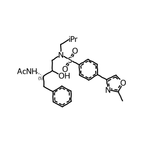 CC(=O)N[C@@H](Cc1ccccc1)C(O)CN(CC(C)C)S(=O)(=O)c1ccc(-c2coc(C)n2)cc1